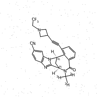 [2H]C([2H])([2H])N1C(=O)c2cccc(C#CC3CN(CC(F)(F)F)C3)c2[C@H]2C[C@@H]1c1nc3ccc(C#N)cc3n12